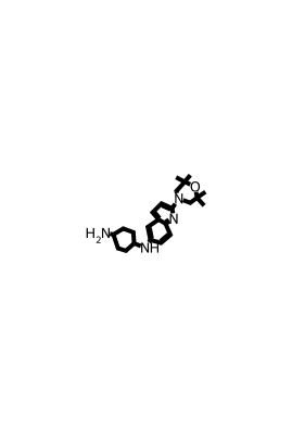 CC1(C)CN(c2ccc3cc(NC4CCC(N)CC4)ccc3n2)CC(C)(C)O1